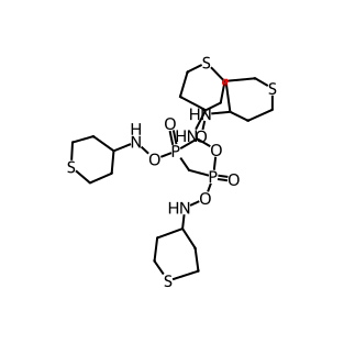 O=P(CP(=O)(ONC1CCSCC1)ONC1CCSCC1)(ONC1CCSCC1)ONC1CCSCC1